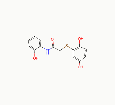 O=C(CSc1cc(O)ccc1O)Nc1ccccc1O